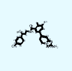 Cc1c(F)cc(-c2ccn3nc(N)nc3c2)cc1C(=O)NCCC(O)c1ccc(Cl)cc1